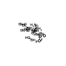 CC(C)(C)OC(=O)CC[C@@H](NC(=O)CCNC(=O)[C@H](CCN[C@@H](c1cc(-c2cc(F)ccc2F)cn1Cc1ccccc1)C(C)(C)C)NC(=O)[C@H](N)CC(N)=O)C(=O)OC(C)(C)C.OCCO